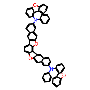 c1ccc(N(c2ccc3cc4c(cc3c2)oc2c4ccc3oc4cc5cc(N(c6ccccc6)c6cccc7oc8ccccc8c67)ccc5cc4c32)c2cccc3oc4ccccc4c23)cc1